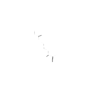 C=C(C)C(=O)OCCOC(=O)CS